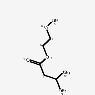 CCCC(CC(=O)OCCOO)C(C)(C)C